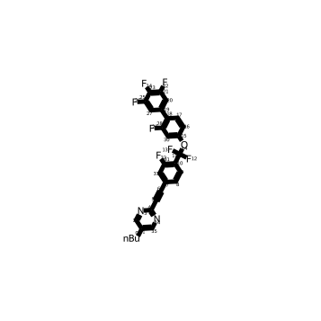 CCCCc1cnc(C#Cc2ccc(C(F)(F)Oc3ccc(-c4cc(F)c(F)c(F)c4)c(F)c3)c(F)c2)nc1